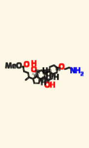 COC(=O)CCC(C)C1CC[C@H]2[C@@H]3[C@H](O)C[C@@H]4C[C@H](OCCN)CC[C@]4(C)[C@H]3C[C@H](O)[C@]12C